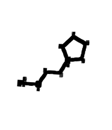 CC(C)OCCN1CCCC1